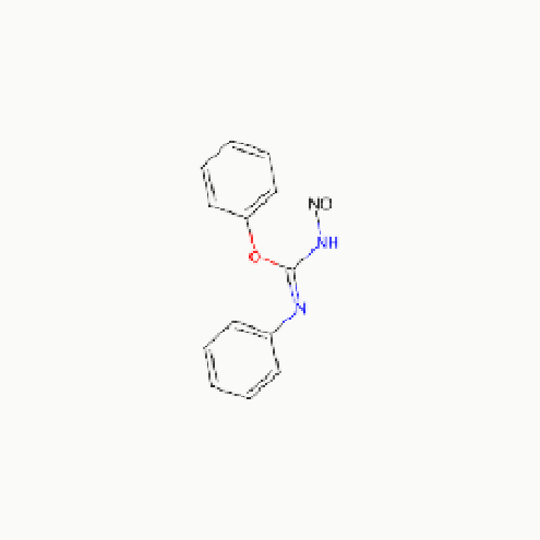 O=NN/C(=N/c1ccccc1)Oc1ccccc1